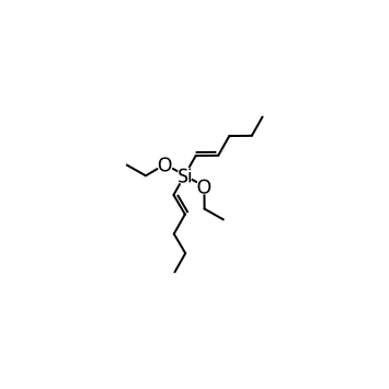 CCCC=C[Si](C=CCCC)(OCC)OCC